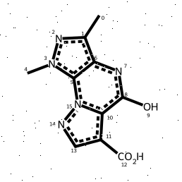 Cc1nn(C)c2c1nc(O)c1c(C(=O)O)cnn12